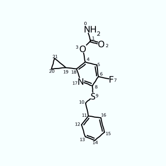 NC(=O)Oc1cc(F)c(SCc2ccccc2)nc1C1CC1